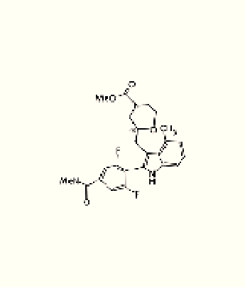 CNC(=O)c1cc(F)c(-c2[nH]c3cccc(C)c3c2C[C@H]2CN(C(=O)OC)CCO2)c(F)c1